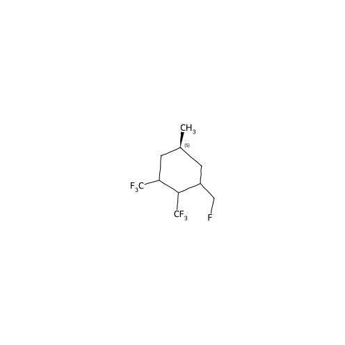 C[C@H]1CC(CF)C(C(F)(F)F)C(C(F)(F)F)C1